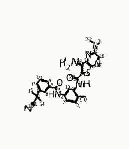 Cc1ccc(NC(=O)c2cccc(C(C)(C)C#N)c2)cc1NC(=O)c1sc2ncc(N(C)C)nc2c1N